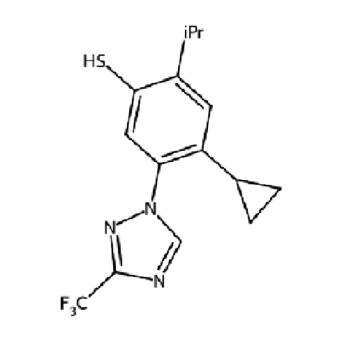 CC(C)c1cc(C2CC2)c(-n2cnc(C(F)(F)F)n2)cc1S